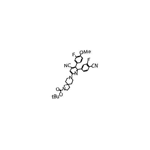 COc1ccc(-c2c(C#N)cc(N3CCC4(CCN(C(=O)OC(C)(C)C)C4)CC3)nc2-c2ccc(C#N)c(F)c2)cc1F